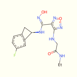 CCNC(=O)CNc1nonc1/C(=N\O)N[C@@H]1Cc2ccc(F)cc21